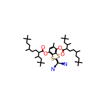 Cc1cc(OC(=O)C(CCC(C)CCC(C)(C)C)C(C)CC(C)(C)C)c2c(c1OC(=O)C(CCC(C)CCC(C)(C)C)C(C)CC(C)(C)C)SC(=C(C#N)C#N)S2